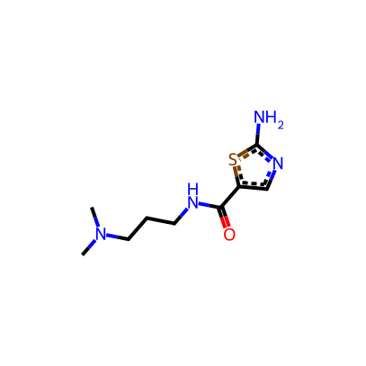 CN(C)CCCNC(=O)c1cnc(N)s1